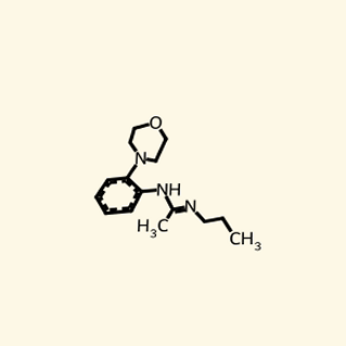 CCC/N=C(\C)Nc1ccccc1N1CCOCC1